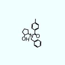 Cc1ccc(C(=O)N(Cc2ccccc2)C2CCCC2O)cc1